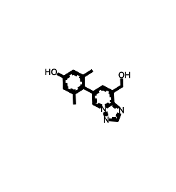 Cc1cc(O)cc(C)c1-c1cc(CO)c2ncnn2c1